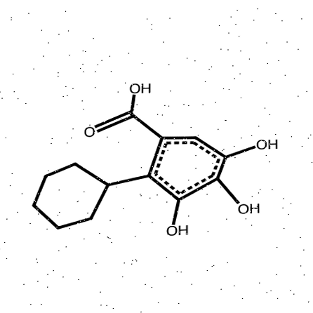 O=C(O)c1cc(O)c(O)c(O)c1C1CCCCC1